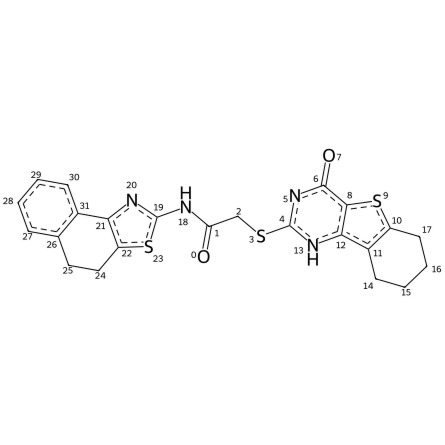 O=C(CSc1nc(=O)c2sc3c(c2[nH]1)CCCC3)Nc1nc2c(s1)CCc1ccccc1-2